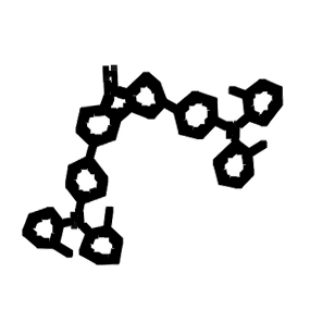 Cc1ccccc1N(c1ccc(-c2ccc3[nH]c4ccc(-c5ccc(N(c6ccccc6C)c6ccccc6C)cc5)cc4c3c2)cc1)c1ccccc1C